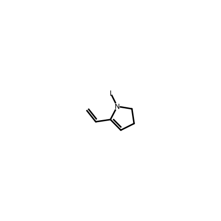 C=CC1=CCCN1I